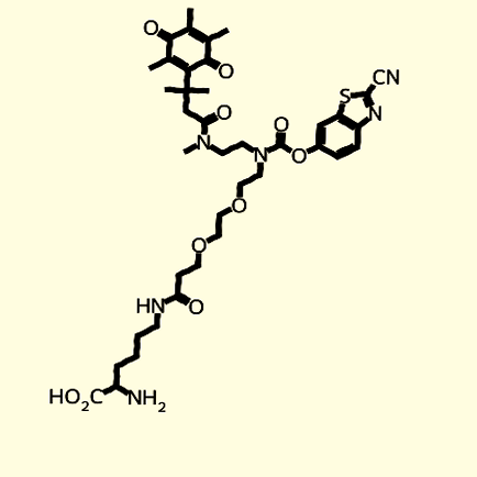 CC1=C(C)C(=O)C(C(C)(C)CC(=O)N(C)CCN(CCOCCOCCC(=O)NCCCCC(N)C(=O)O)C(=O)Oc2ccc3nc(C#N)sc3c2)=C(C)C1=O